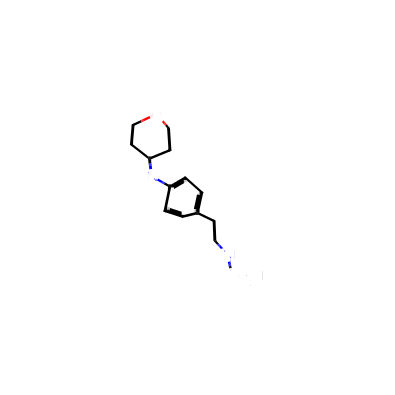 O=C(O)NCCc1ccc(NC2CCOCC2)cc1